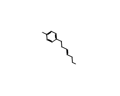 [O]CC/C=C/CCc1ccc(Cl)cc1